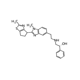 Cc1nc2c(s1)CCC2c1nc2cc(CCNC[C@H](O)c3ccccc3)ccc2n1C